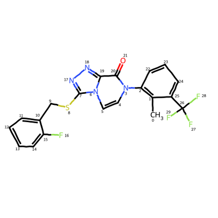 Cc1c(-n2ccn3c(SCc4ccccc4F)nnc3c2=O)cccc1C(F)(F)F